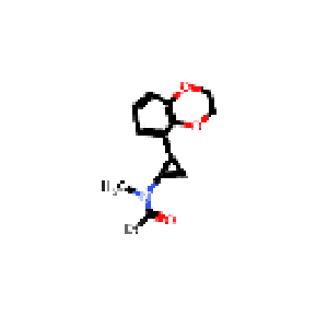 CCC(=O)N(C)C1CC1c1cccc2c1OCCO2